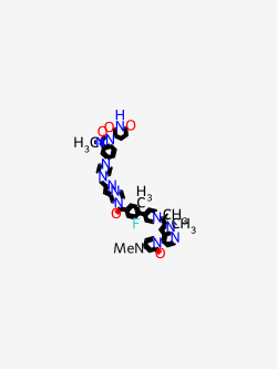 CNc1ccn(-c2ccnc3c2cc([C@H](C)N2CC=C(c4c(C)cc(C(=O)N5CCn6nc(CN7CCN(c8ccc9c(c8)n(C)c(=O)n9C8CCC(=O)NC8=O)CC7)cc6C5)cc4F)CC2)n3C)c(=O)c1